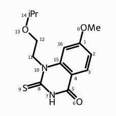 COc1ccc2c(=O)[nH]c(=S)n(CCOC(C)C)c2c1